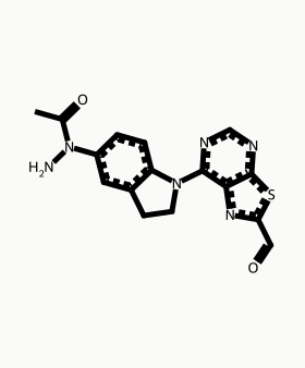 CC(=O)N(N)c1ccc2c(c1)CCN2c1ncnc2sc(C=O)nc12